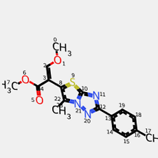 CO/C=C(/C(=O)OC)c1sc2nc(-c3ccc(C)cc3)nn2c1C